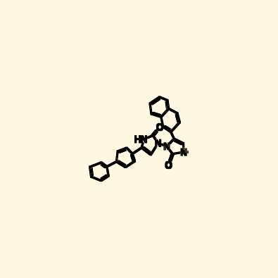 O=C1[N]C=C(c2ccc3ccccc3c2)N1n1cc(-c2ccc(-c3ccccc3)cc2)[nH]c1=O